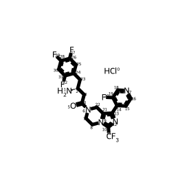 Cl.N[C@@H](CC(=O)N1CCn2c(C(F)(F)F)nc(-c3ccncc3F)c2C1)Cc1cc(F)c(F)cc1F